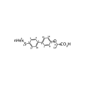 CCCCCCSc1ccc(-c2ccc(O[C@H](C)C(=O)O)cc2)cc1